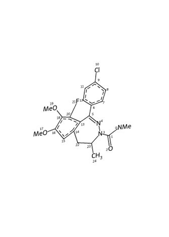 CNC(=O)N1N=C(c2ccc(Cl)cc2)c2c(cc(OC)c(OC)c2F)CC1C